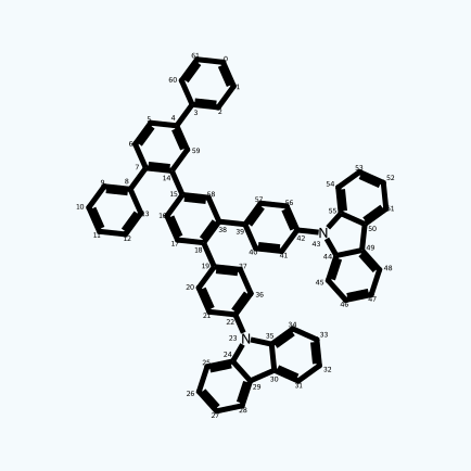 c1ccc(-c2ccc(-c3ccccc3)c(-c3ccc(-c4ccc(-n5c6ccccc6c6ccccc65)cc4)c(-c4ccc(-n5c6ccccc6c6ccccc65)cc4)c3)c2)cc1